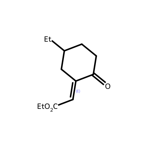 CCOC(=O)/C=C1\CC(CC)CCC1=O